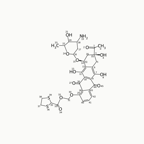 CC(=O)[C@]1(O)Cc2c(O)c3c(c(O)c2[C@@H](OC2CC(N)C(O)C(C)O2)C1)C(=O)c1c(OCOC(=O)C2SCCS2)cccc1C3=O